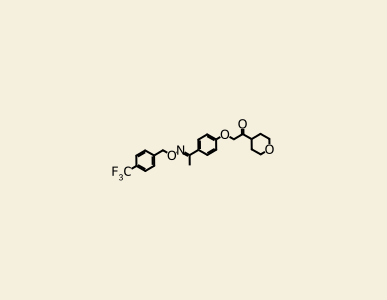 C/C(=N\OCc1ccc(C(F)(F)F)cc1)c1ccc(OCC(=O)C2CCOCC2)cc1